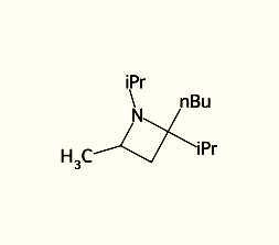 CCCCC1(C(C)C)CC(C)N1C(C)C